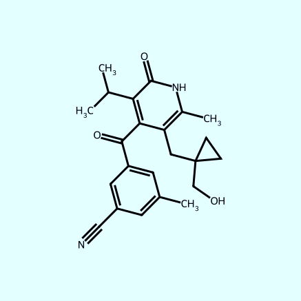 Cc1cc(C#N)cc(C(=O)c2c(CC3(CO)CC3)c(C)[nH]c(=O)c2C(C)C)c1